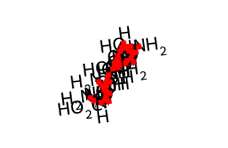 CC(O)C(CC(=O)CNC(=O)COCOCC(=O)NCC(=O)CC(C(=O)N[C@@H](CCCCN)C(=O)N1CCC[C@H]1C(=O)N1CCC[C@H]1C(=O)N[C@H](CCCCC(=N)N)C(=O)O)C(C)O)C(=O)N[C@@H](CCCCN)C(=O)N1CCC[C@H]1C(=O)N1CCC[C@H]1C(=O)N[C@H](CCCCC(=N)N)C(=O)O